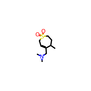 CC1CCS(=O)(=O)CC=C1CN(C)C